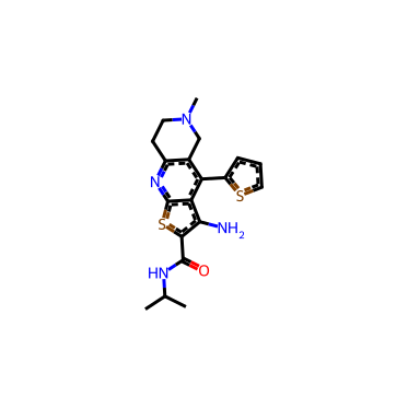 CC(C)NC(=O)c1sc2nc3c(c(-c4cccs4)c2c1N)CN(C)CC3